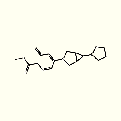 C=C/N=C(\C=N/CC(=O)OC)N1CC2C(C1)C2N1CCCC1